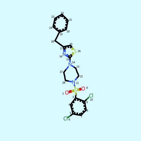 O=S(=O)(c1cc(Cl)ccc1Cl)N1CCN(c2nc(Cc3ccccc3)cs2)CC1